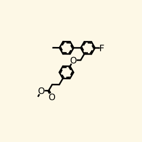 COC(=O)CCc1ccc(OCc2cc(F)ccc2-c2ccc(C)cc2)cc1